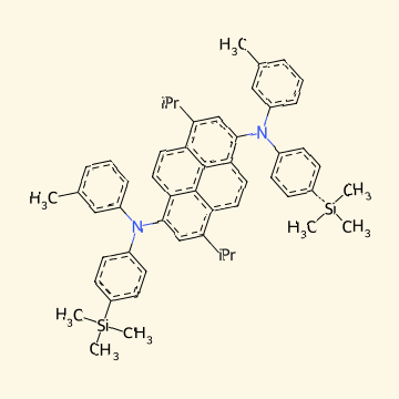 Cc1cccc(N(c2ccc([Si](C)(C)C)cc2)c2cc(C(C)C)c3ccc4c(N(c5ccc([Si](C)(C)C)cc5)c5cccc(C)c5)cc(C(C)C)c5ccc2c3c54)c1